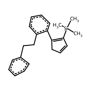 C[Si](C)(C)C1=C(c2ccccc2CCc2ccccc2)CC=C1